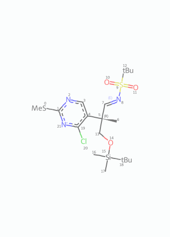 CSc1ncc([C@](C)(/C=N/S(=O)(=O)C(C)(C)C)CO[Si](C)(C)C(C)(C)C)c(Cl)n1